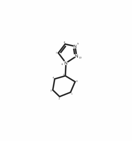 [CH]1CCCCC1n1ccnn1